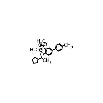 COP(=O)(OC)c1cc(-c2ccc(C)cc2)ccc1OC(C)C1CCCC1